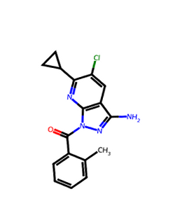 Cc1ccccc1C(=O)n1nc(N)c2cc(Cl)c(C3CC3)nc21